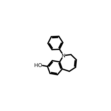 Oc1ccc2c(c1)N(c1ccccc1)CC=CC2